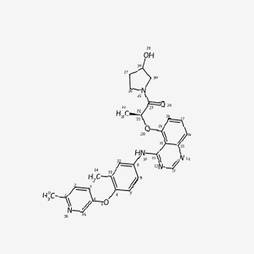 Cc1ccc(Oc2ccc(Nc3ncnc4cccc(O[C@@H](C)C(=O)N5CCC(O)C5)c34)cc2C)cn1